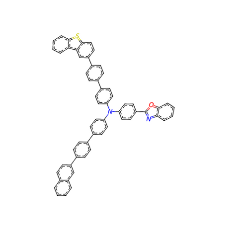 c1ccc2cc(-c3ccc(-c4ccc(N(c5ccc(-c6ccc(-c7ccc8sc9ccccc9c8c7)cc6)cc5)c5ccc(-c6nc7ccccc7o6)cc5)cc4)cc3)ccc2c1